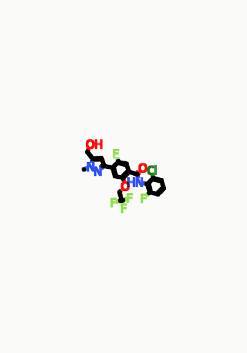 Cn1nc(-c2cc(OCC(F)(F)F)c(C(=O)Nc3c(F)cccc3Cl)cc2F)cc1CO